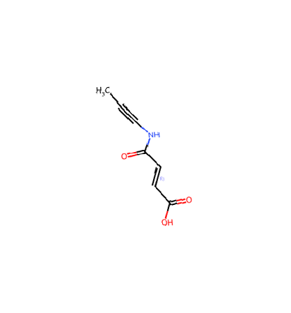 CC#CNC(=O)/C=C/C(=O)O